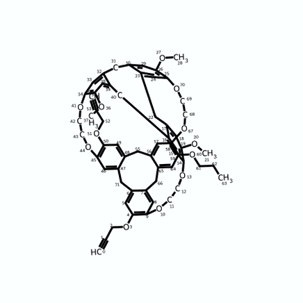 C#CCOc1cc2c3cc1OCCOc1cc4c(cc1OC)Cc1cc5c(OC)cc1Cc1cc(c(OC)cc1C4)OCCOc1cc(c(cc1OCC#C)Cc1cc(c(OCCC)cc1C3)OCCO5)C2